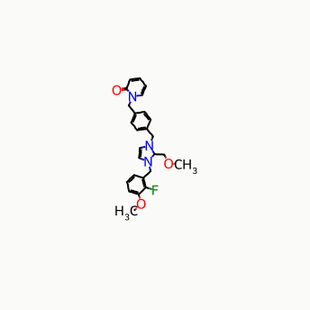 COCC1N(Cc2ccc(Cn3ccccc3=O)cc2)C=CN1Cc1cccc(OC)c1F